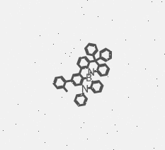 Cc1ccccc1-c1cc2c3c(c1)N(c1ccccc1)c1ccccc1B3N1c3ccccc3C(c3ccccc3)(c3ccccc3)c3cccc-2c31